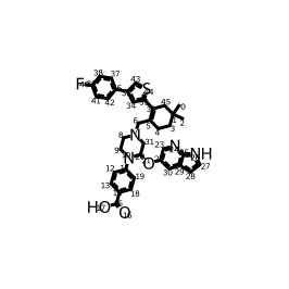 CC1(C)CCC(CN2CCN(c3ccc(C(=O)O)cc3)C(Oc3cnc4[nH]ccc4c3)C2)=C(c2cc(-c3ccc(F)cc3)cs2)C1